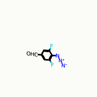 [N-]=[N+]=Nc1c(F)cc(C=O)cc1F